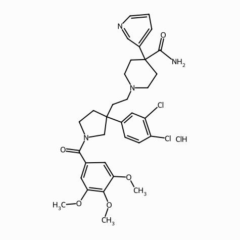 COc1cc(C(=O)N2CCC(CCN3CCC(C(N)=O)(c4cccnc4)CC3)(c3ccc(Cl)c(Cl)c3)C2)cc(OC)c1OC.Cl